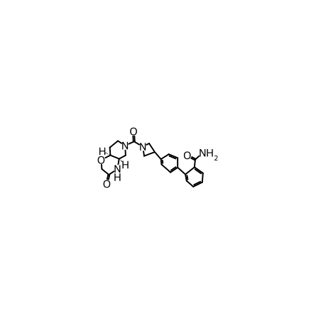 NC(=O)c1ccccc1-c1ccc(C2CN(C(=O)N3CC[C@@H]4OCC(=O)N[C@@H]4C3)C2)cc1